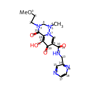 COCCN1CN(C)n2cc(C(=O)NCc3cnccn3)c(=O)c(O)c2C1=O